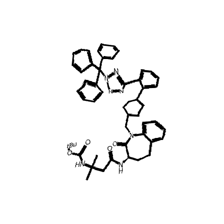 CC(C)(CC(=O)N[C@@H]1CCc2ccccc2N(CC2CCC(c3ccccc3-c3nnn(C(c4ccccc4)(c4ccccc4)c4ccccc4)n3)CC2)C1=O)NC(=O)OC(C)(C)C